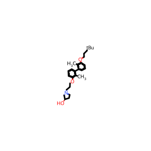 Cc1c(OCCCN2CC[C@@H](O)C2)cccc1-c1cccc(OCCCC(C)(C)C)c1C